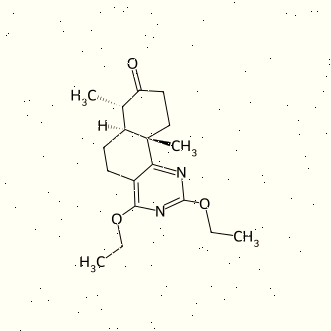 CCOc1nc(OCC)c2c(n1)[C@@]1(C)CCC(=O)[C@@H](C)[C@@H]1CC2